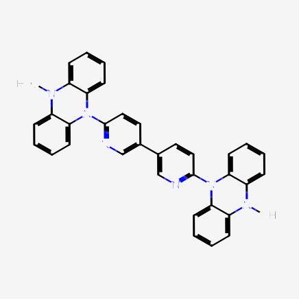 CN1c2ccccc2N(c2ccc(-c3ccc(N4c5ccccc5N(C)c5ccccc54)nc3)cn2)c2ccccc21